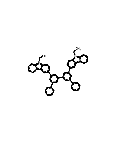 CCn1c2ccccc2c2cc(-c3cc(-c4ccccc4)cc(-c4cc(-c5ccccc5)cc(-c5ccc6c(c5)c5ccccc5n6CC)c4)c3)ccc21